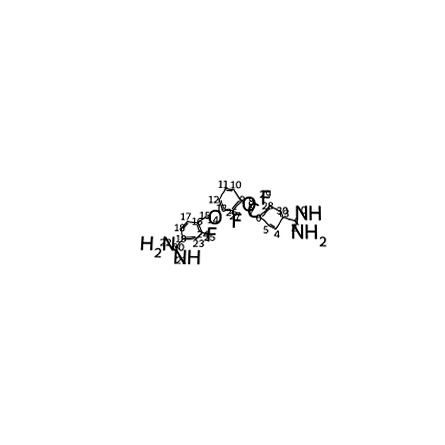 N=C(N)c1ccc(COc2cccc(OCc3ccc(C(=N)N)cc3F)c2F)c(F)c1